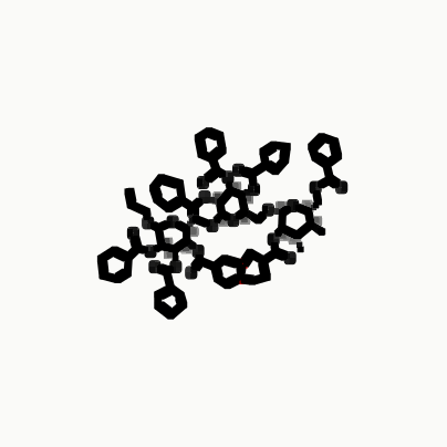 C=CCOC1O[C@H](CO[C@@H]2O[C@H](CO[C@@H]3O[C@H](COC(=O)c4ccccc4)[C@@H](C)[C@H](C)[C@H]3OC(=O)c3ccccc3)[C@@H](OC(=O)c3ccccc3)[C@H](OC(=O)c3ccccc3)[C@H]2OC(=O)c2ccccc2)[C@@H](OC(=O)c2ccccc2)[C@H](OC(=O)c2ccccc2)[C@H]1OC(=O)c1ccccc1